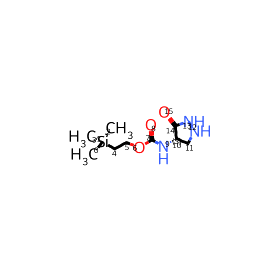 C[Si](C)(C)CCOC(=O)N[C@H]1CNNC1=O